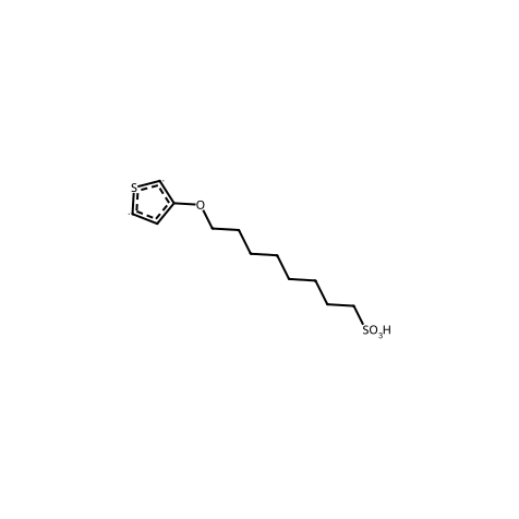 O=S(=O)(O)CCCCCCCCOc1[c]s[c]c1